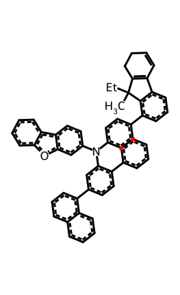 CCC1(C)C2=C(C=CCC2)c2cccc(-c3ccc(N(c4ccc5c(c4)oc4ccccc45)c4cc(-c5cccc6ccccc56)ccc4-c4ccccc4)cc3)c21